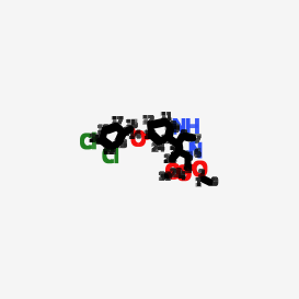 CCOC(=O)c1ncc2[nH]c3ccc(OCc4ccc(Cl)c(Cl)c4)cc3c2c1COC